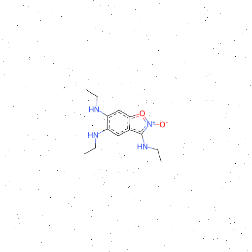 CCNc1cc2o[n+]([O-])c(NCC)c2cc1NCC